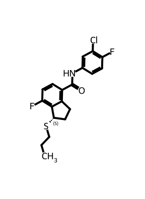 CCCS[C@H]1CCc2c(C(=O)Nc3ccc(F)c(Cl)c3)ccc(F)c21